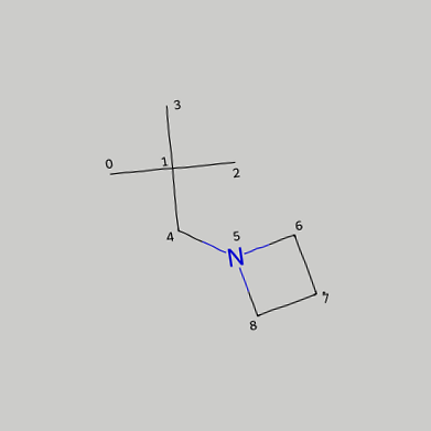 CC(C)(C)CN1C[CH]C1